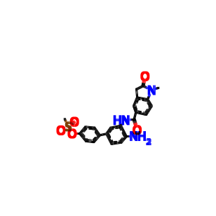 CN1C(=O)Cc2cc(C(=O)Nc3cc(-c4ccc(OS(C)(=O)=O)cc4)ccc3N)ccc21